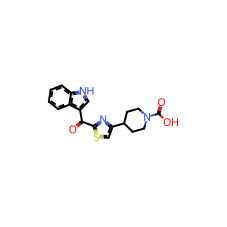 O=C(c1nc(C2CCN(C(=O)O)CC2)cs1)c1c[nH]c2ccccc12